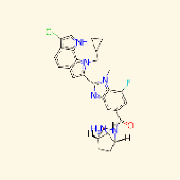 Cn1c(-c2cc3ccc4c(Cl)c[nH]c4c3n2CC2CC2)nc2cc(C(=O)N3C[C@H]4CC[C@@H]3[C@@H]4N)cc(F)c21